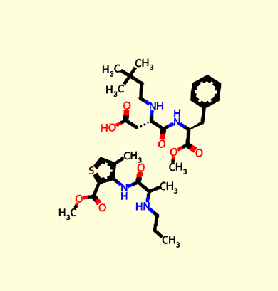 CCCNC(C)C(=O)Nc1c(C)csc1C(=O)OC.COC(=O)[C@H](Cc1ccccc1)NC(=O)[C@H](CC(=O)O)NCCC(C)(C)C